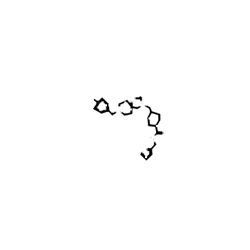 O=C(NCc1ccco1)C1CCC(CN2CC3(CCN(Cc4ccc(C(F)(F)F)cc4)CC3)OC2=O)CC1